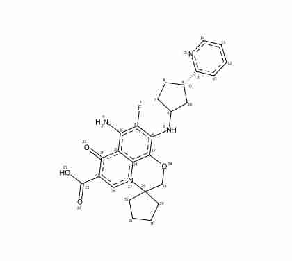 Nc1c(F)c(NC2CC[C@H](c3ccccn3)C2)c2c3c1c(=O)c(C(=O)O)cn3C1(CCCC1)CO2